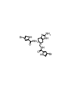 Nc1nc2c([nH]1)C[C@@H](CNC(=O)c1cc(Br)c[nH]1)[C@H](CNC(=O)c1cc(Br)c[nH]1)C2